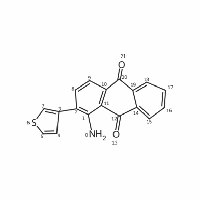 Nc1c(-c2ccsc2)ccc2c1C(=O)c1ccccc1C2=O